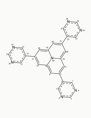 C1=C(c2cncnc2)C=C2C=C(c3cncnc3)C=C3C=C(c4cncnc4)C=C1N23